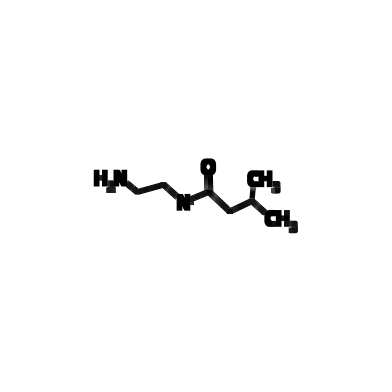 CC(C)CC(=O)[N]CCN